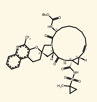 CC(C)COC(=O)N[C@H]1CCCCC/C=C\[C@@H]2C[C@@]2(C(=O)NS(=O)(=O)C2(C)CC2)NC(=O)[C@@H]2C[C@]3(CCc4c(c(C(F)(F)F)nc5ccccc45)O3)CN2C1=O